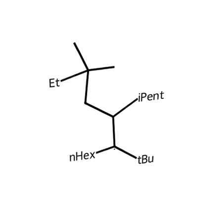 CCCCCC[C](C(CC(C)(C)CC)C(C)CCC)C(C)(C)C